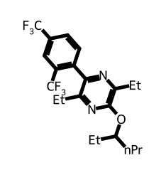 CCCC(CC)Oc1nc(CC)c(-c2ccc(C(F)(F)F)cc2C(F)(F)F)nc1CC